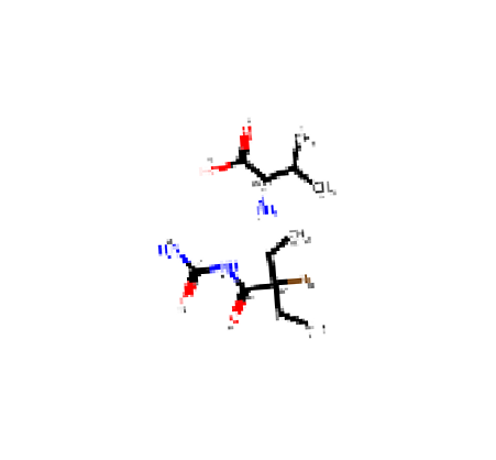 CC(C)[C@H](N)C(=O)O.CCC(Br)(CC)C(=O)NC(N)=O